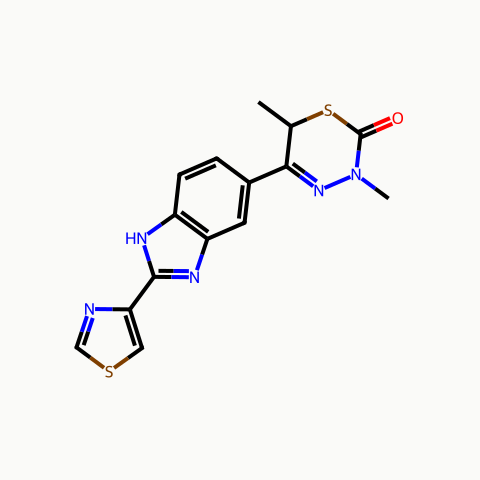 CC1SC(=O)N(C)N=C1c1ccc2[nH]c(-c3cscn3)nc2c1